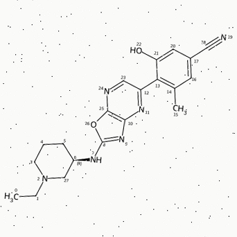 CCN1CCC[C@@H](Nc2nc3nc(-c4c(C)cc(C#N)cc4O)cnc3o2)C1